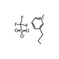 CCCc1ccc[n+](C)c1.O=S(=O)([O-])C(F)(F)F